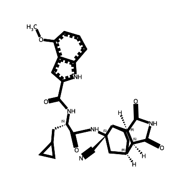 COc1cccc2[nH]c(C(=O)N[C@@H](CC3CC3)C(=O)N[C@@]3(C#N)C[C@H]4CCC3[C@H]3C(=O)NC(=O)[C@@H]43)cc12